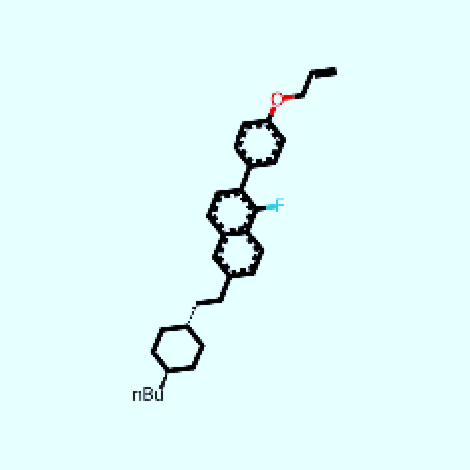 C=CCOc1ccc(-c2ccc3cc(CC[C@H]4CC[C@H](CCCC)CC4)ccc3c2F)cc1